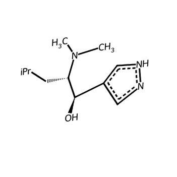 CC(C)C[C@@H]([C@H](O)c1cn[nH]c1)N(C)C